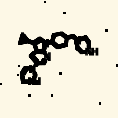 C1=CN(c2cnc3c(c2)c(C2CC2)cn3C2CCC(CN3CCNCC3)CC2)CNC1